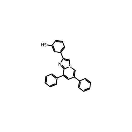 Sc1cccc(-c2cn3cc(-c4ccccc4)cc(-c4ccccc4)c3n2)c1